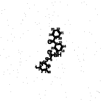 Cc1cc(C)nc(SCC(=O)Nc2cccc(C(=O)c3ccccc3)c2)n1